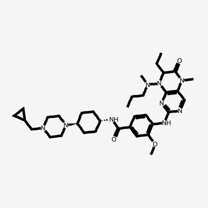 CCCN(C)N1c2nc(Nc3ccc(C(=O)N[C@H]4CC[C@H](N5CCN(CC6CC6)CC5)CC4)cc3OC)ncc2N(C)C(=O)C1CC